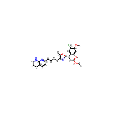 CCOC(=O)CC(c1ccc(OC)c(F)c1)c1nc(CCCCc2ccc3c(n2)NCCC3)c(C)o1